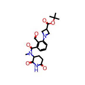 CN(C(=O)c1cccc(N2CC(C(=O)OC(C)(C)C)C2)c1C=O)C1CCC(=O)NC1=O